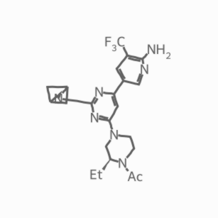 CC[C@H]1CN(c2cc(-c3cnc(N)c(C(F)(F)F)c3)nc(N3CC4CC3C4)n2)CCN1C(C)=O